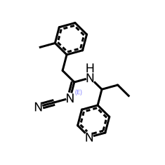 CCC(N/C(Cc1ccccc1C)=N/C#N)c1ccncc1